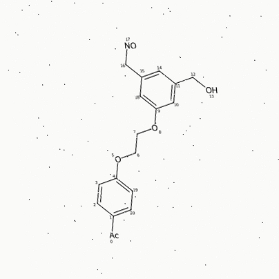 CC(=O)c1ccc(OCCOc2cc(CO)cc(CN=O)c2)cc1